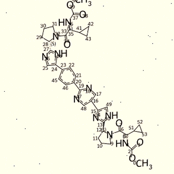 COC(=O)N[C@H](C(=O)N1CCC[C@H]1c1nc(-c2cnc(-c3ccc(-c4cnc([C@@H]5CCCN5C(=O)[C@@H](NC(=O)OC)C5CC5)[nH]4)cc3)nc2)c[nH]1)C1CC1